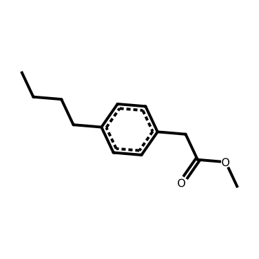 CCCCc1ccc(CC(=O)OC)cc1